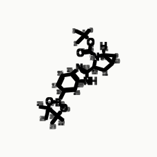 CC(C)(C)OC(=O)N1[C@@H]2CC2C[C@H]1c1nc2ccc(B3OC(C)(C)C(C)(C)O3)cc2[nH]1